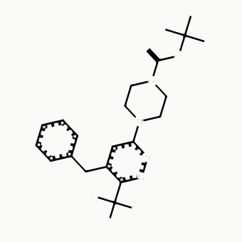 CC(C)(C)OC(=O)N1CCN(c2cc(Cc3ccccc3)c(C(F)(F)F)nn2)CC1